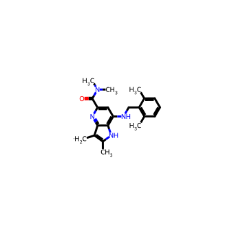 [CH2]c1c(C)[nH]c2c(NCc3c(C)cccc3C)cc(C(=O)N(C)C)nc12